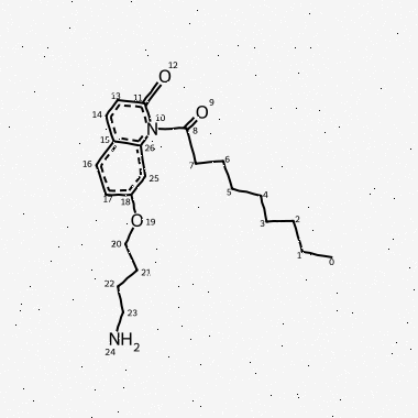 CCCCCCCCC(=O)n1c(=O)ccc2ccc(OCCCCN)cc21